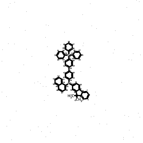 CC1(C)c2ccccc2-c2ccc(N(c3ccc(-c4ccc([Si](c5ccccc5)(c5ccccc5)c5ccccc5)cc4)cc3)c3cccc4ccccc34)cc21